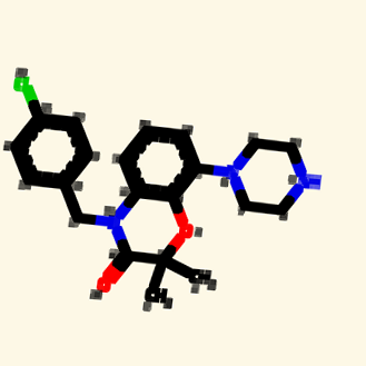 CC1(C)Oc2c(N3CCNCC3)cccc2N(Cc2ccc(Cl)cc2)C1=O